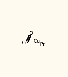 [Cu].[O]=[Ce].[Pr]